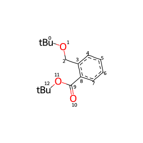 CC(C)(C)OCc1ccccc1C(=O)OC(C)(C)C